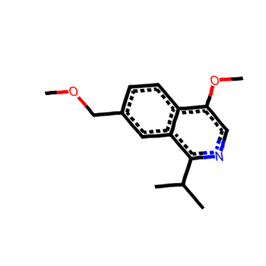 COCc1ccc2c(OC)cnc(C(C)C)c2c1